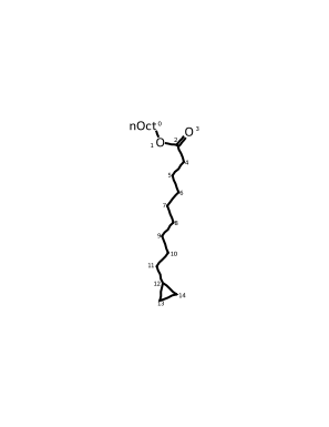 CCCCCCCCOC(=O)CCCCCCCCC1CC1